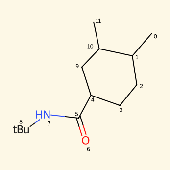 CC1CCC(C(=O)NC(C)(C)C)CC1C